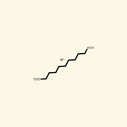 CCCCCCCCCCCCCCCCCC(=O)[O-].[Al+]